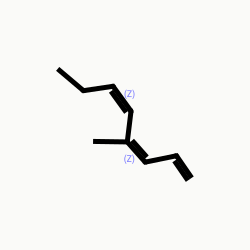 C=C/C=C(C)\C=C/CC